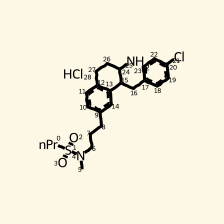 CCCS(=O)(=O)N(C)CCCc1ccc2c(c1)C(Cc1ccc(Cl)cc1)C(N)CC2.Cl